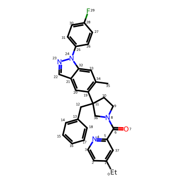 CCc1ccnc(C(=O)N2CCC(Cc3ccccc3)(c3cc4cnn(-c5ccc(F)cc5)c4cc3C)C2)c1